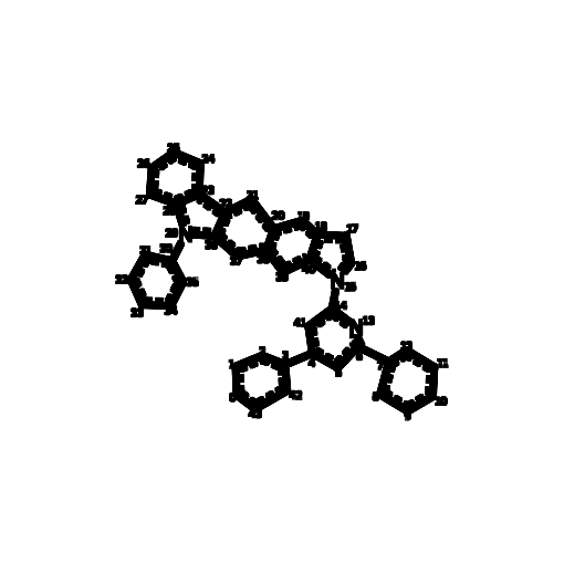 c1ccc(-c2cc(-c3ccccc3)nc(-n3ccc4cc5cc6c7ccccc7n(-c7ccccc7)c6cc5cc43)c2)cc1